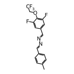 Cc1ccc(C=NN=Cc2cc(F)c(OCC(F)(F)F)c(F)c2)cc1